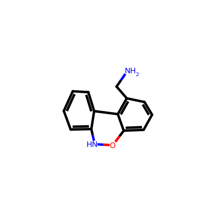 NCc1cccc2c1-c1ccccc1NO2